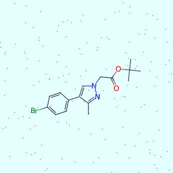 Cc1nn(CC(=O)OC(C)(C)C)cc1-c1ccc(Br)cc1